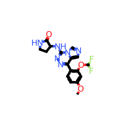 COc1ccc(-c2nnc(NC3CCNC3=O)n3cncc23)c(OC(F)F)c1